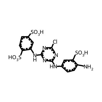 Nc1ccc(Nc2nc(Cl)nc(Nc3cc(S(=O)(=O)O)ccc3S(=O)(=O)O)n2)cc1S(=O)(=O)O